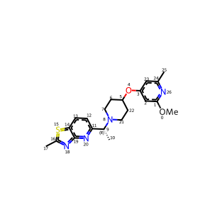 COc1cc(OC2CCN([C@H](C)c3ccc4sc(C)nc4n3)CC2)cc(C)n1